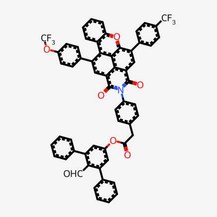 O=Cc1c(-c2ccccc2)cc(OC(=O)Cc2ccc(-n3c(=O)c4cc(-c5ccc(C(F)(F)F)cc5)c5oc6ccccc6c6c(-c7ccc(OC(F)(F)F)cc7)cc(c3=O)c4c56)cc2)cc1-c1ccccc1